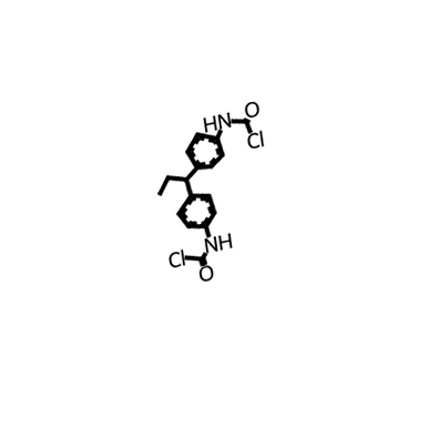 CCC(c1ccc(NC(=O)Cl)cc1)c1ccc(NC(=O)Cl)cc1